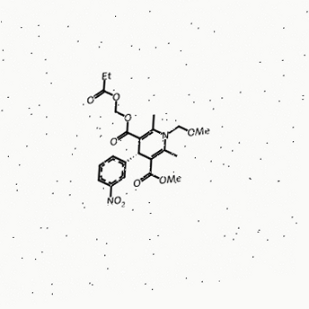 CCC(=O)OCOC(=O)C1=C(C)N(COC)C(C)=C(C(=O)OC)[C@@H]1c1cccc([N+](=O)[O-])c1